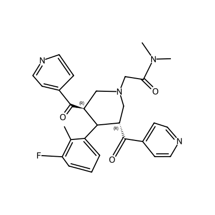 Cc1c(F)cccc1C1[C@@H](C(=O)c2ccncc2)CN(CC(=O)N(C)C)C[C@@H]1C(=O)c1ccncc1